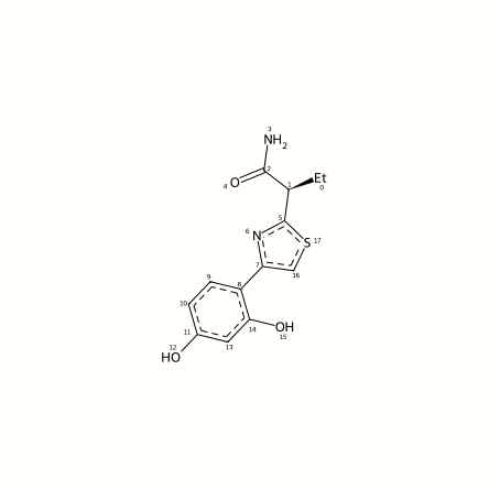 CC[C@H](C(N)=O)c1nc(-c2ccc(O)cc2O)cs1